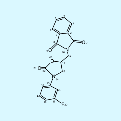 O=C1c2ccccc2C(=O)N1CC1CN(c2cccc(F)c2)C(=O)O1